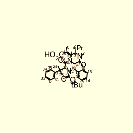 C/C(=C\[C@H](C(C)C)N(C)C(=O)[C@H](Cc1ccccc1)NC(=O)[C@@H](N(C)C(=O)OC(C)(C)C)C(C)(C)c1ccccc1)C(=O)O